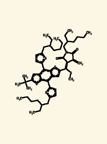 C=C1C(=O)N(CC(CC)CCCC)C(=O)/C1=C(/SC)c1cc2c(-c3ccc(CC(CC)CCCC)s3)c3sc(C(C)(C)C)cc3c(-c3ccc(CC(CC)CCCC)s3)c2s1